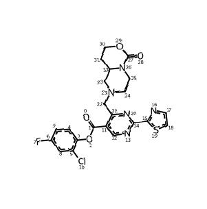 O=C(Oc1ccc(F)cc1Cl)c1cnc(-c2nccs2)nc1CN1CCN2C(=O)OCCC2C1